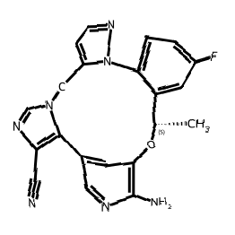 C[C@@H]1Oc2cc(cnc2N)-c2c(C#N)ncn2Cc2ccnn2-c2ccc(F)cc21